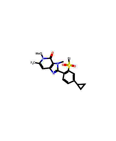 CCS(=O)(=O)c1cc(C2CC2)ccc1-c1nc2cc(C(F)(F)F)n(OC)c(=O)c2n1C